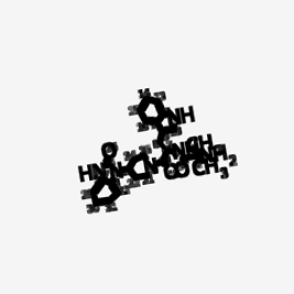 CC(C)(N)C(=O)N[C@H](Cc1c[nH]c2ccccc12)C(=O)N1CCC(n2c(=O)[nH]c3ccccc32)CC1